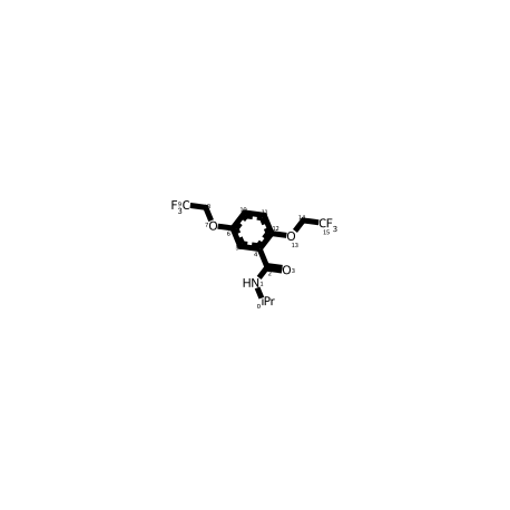 CC(C)NC(=O)c1cc(OCC(F)(F)F)ccc1OCC(F)(F)F